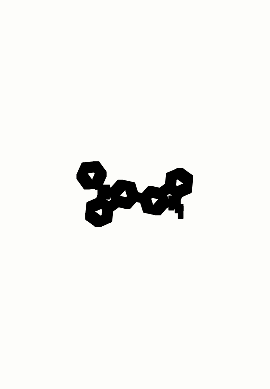 In1c2ccccc2c2cc(-c3ccc4c(c3)c3ccccc3n4-c3ccccc3)ccc21